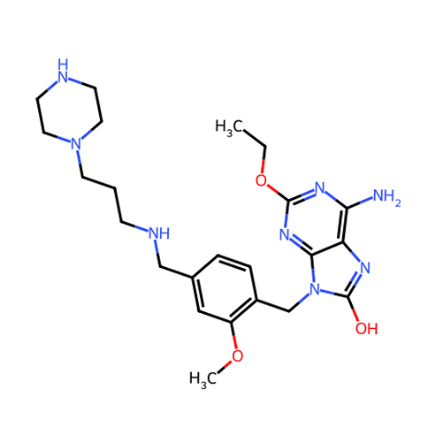 CCOc1nc(N)c2nc(O)n(Cc3ccc(CNCCCN4CCNCC4)cc3OC)c2n1